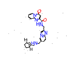 O=C(NCc1cn2cc(CNC[C@@H]3C[C@H]4CC[C@@H]3C4)ccc2n1)c1cc(=O)n2ccccc2n1